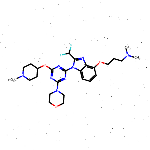 CN(C)CCCOc1cccc2c1nc(C(F)F)n2-c1nc(OC2CCN(C(=O)O)CC2)nc(N2CCOCC2)n1